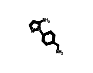 NCc1ccc(-n2nccc2N)cc1